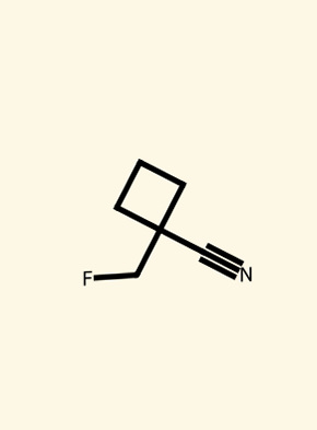 N#CC1(CF)CCC1